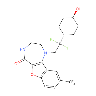 O=C1NCCN(CC(F)(F)[C@H]2CC[C@H](O)CC2)c2c1oc1ccc(C(F)(F)F)cc21